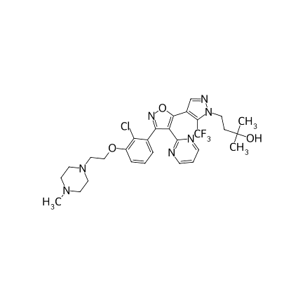 CN1CCN(CCOc2cccc(-c3noc(-c4cnn(CCC(C)(C)O)c4C(F)(F)F)c3-c3ncccn3)c2Cl)CC1